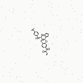 C=CC(=O)Nc1ccc(F)c(Oc2nc(Nc3ccc(N(C)C)cc3)nn3cccc23)c1